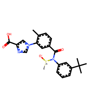 Cc1ccc(C(=O)N(c2cccc(C(C)(C)C)c2)[S@+](C)[O-])cc1-n1cnc(C(=O)O)c1